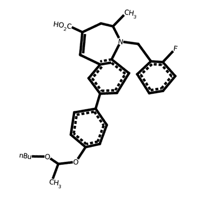 CCCCOC(C)Oc1ccc(-c2ccc3c(c2)C=C(C(=O)O)CC(C)N3Cc2ccccc2F)cc1